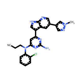 Cn1cc(-c2cnc3[nH]cc(-c4cc(N(CCC#N)c5ccccc5Cl)nc(N)n4)c3c2)cn1